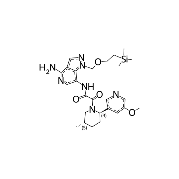 COc1cncc([C@H]2CC[C@H](C)CN2C(=O)C(=O)Nc2cnc(N)c3cnn(COCC[Si](C)(C)C)c23)c1